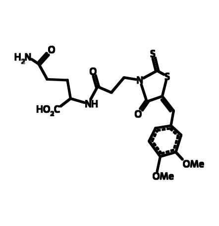 COc1ccc(/C=C2/SC(=S)N(CCC(=O)NC(CCC(N)=O)C(=O)O)C2=O)cc1OC